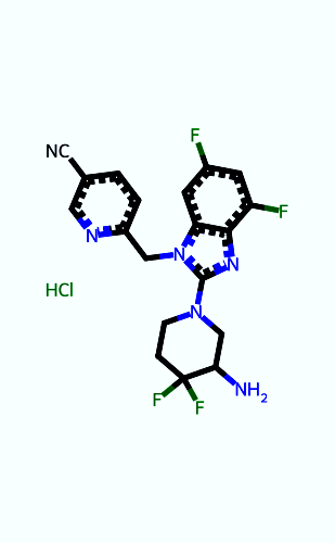 Cl.N#Cc1ccc(Cn2c(N3CCC(F)(F)C(N)C3)nc3c(F)cc(F)cc32)nc1